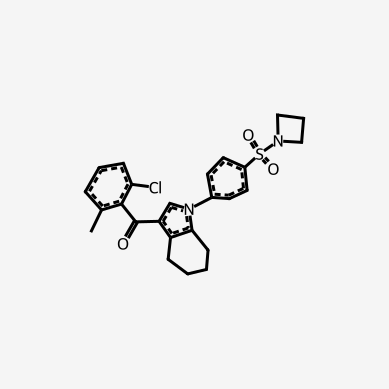 Cc1cccc(Cl)c1C(=O)c1cn(-c2ccc(S(=O)(=O)N3CCC3)cc2)c2c1CCCC2